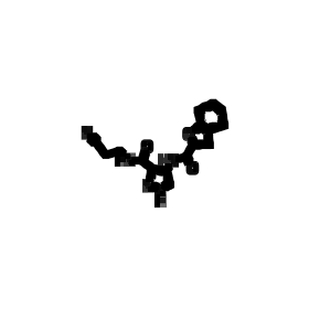 N#CCCNC(=O)c1n[nH]cc1NC(=O)c1cc2ccccc2o1